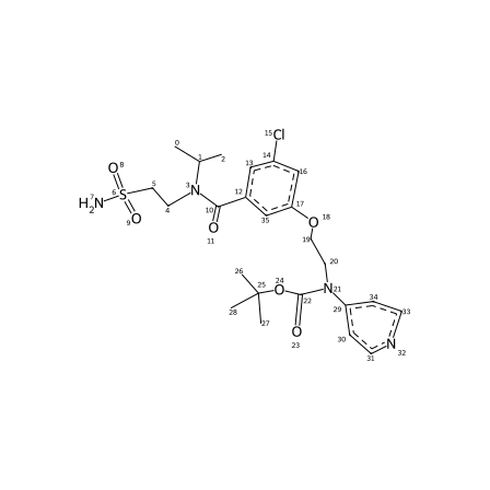 CC(C)N(CCS(N)(=O)=O)C(=O)c1cc(Cl)cc(OCCN(C(=O)OC(C)(C)C)c2ccncc2)c1